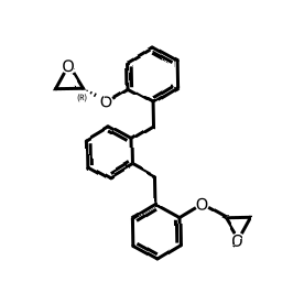 c1ccc(Cc2ccccc2O[C@@H]2CO2)c(Cc2ccccc2OC2CO2)c1